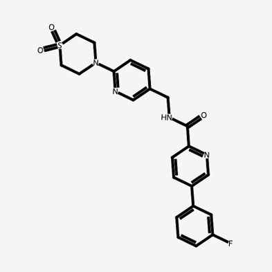 O=C(NCc1ccc(N2CCS(=O)(=O)CC2)nc1)c1ccc(-c2cccc(F)c2)cn1